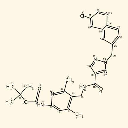 Cc1cc(NC(=O)OC(C)(C)C)nc(C)c1CNC(=O)c1cnn(Cc2ccc3ncc(Cl)cc3c2)n1